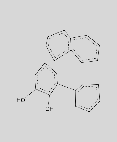 Oc1cccc(-c2ccccc2)c1O.c1ccc2ccccc2c1